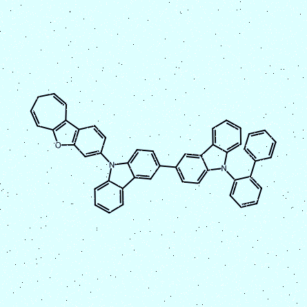 C1=Cc2oc3cc(-n4c5ccccc5c5cc(-c6ccc7c(c6)c6ccccc6n7-c6ccccc6-c6ccccc6)ccc54)ccc3c2C=CC1